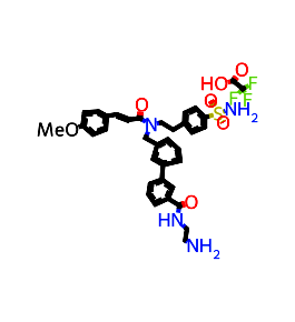 COc1ccc(C=CC(=O)N(CCc2ccc(S(N)(=O)=O)cc2)Cc2cccc(-c3cccc(C(=O)NCCN)c3)c2)cc1.O=C(O)C(F)(F)F